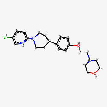 Brc1ccc(N2CCC(c3ccc(OCCN4CCOCC4)cc3)CC2)nc1